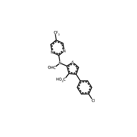 O=CN(c1ncc(C(F)(F)F)cn1)c1scc(-c2ccc(Cl)cc2)c1C(=O)O